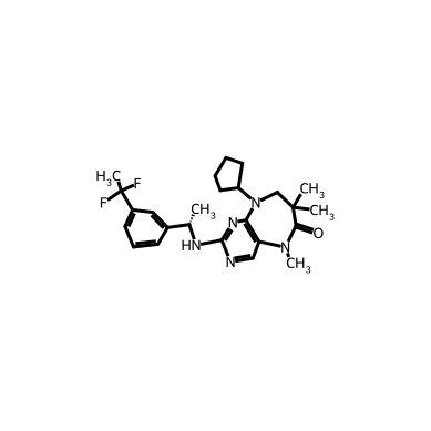 C[C@H](Nc1ncc2c(n1)N(C1CCCC1)CC(C)(C)C(=O)N2C)c1cccc(C(C)(F)F)c1